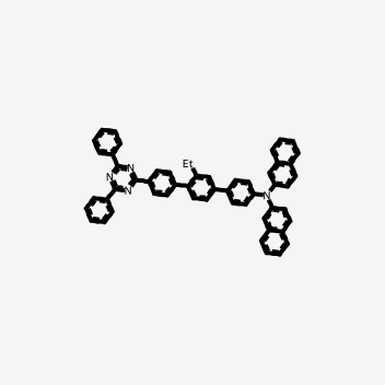 CCc1cc(-c2ccc(N(c3ccc4ccccc4c3)c3ccc4ccccc4c3)cc2)ccc1-c1ccc(-c2nc(-c3ccccc3)nc(-c3ccccc3)n2)cc1